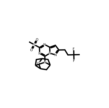 CC(F)(F)CCc1cc2nc(S(C)(=O)=O)nc(N3C4CC5CC3C(C4)O5)n2n1